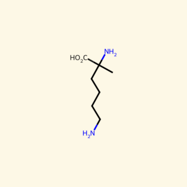 CC(N)(CCCCN)C(=O)O